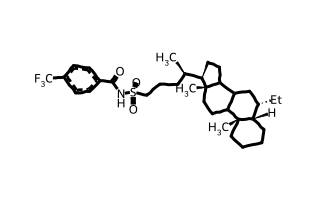 CC[C@H]1CC2C3CC[C@H]([C@H](C)CCCS(=O)(=O)NC(=O)c4ccc(C(F)(F)F)cc4)[C@@]3(C)CCC2[C@@]2(C)CCCC[C@@H]12